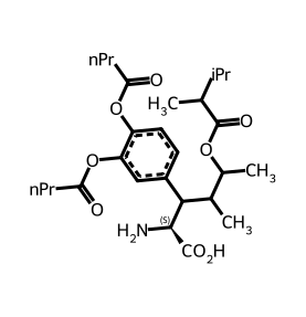 CCCC(=O)Oc1ccc(C(C(C)C(C)OC(=O)C(C)C(C)C)[C@H](N)C(=O)O)cc1OC(=O)CCC